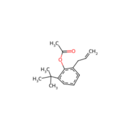 C=CCc1cccc(C(C)(C)C)c1OC(C)=O